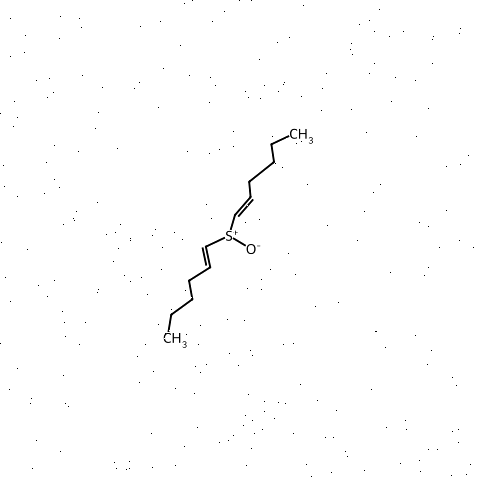 CCCCC=C[S+]([O-])C=CCCCC